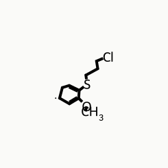 COC1=C[CH]CC=C1SCCCCl